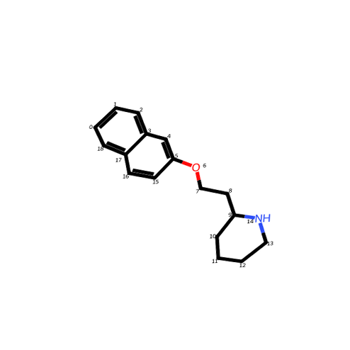 c1ccc2cc(OCCC3CCCCN3)ccc2c1